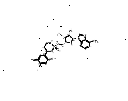 Nc1ncnc2c1ncn2[C@@H]1O[C@H](COP2(=S)OCCC(c3cc(Cl)c(F)cc3F)O2)[C@H](O)[C@@H]1O